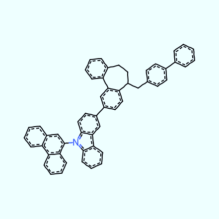 c1ccc(-c2ccc(CC3CCc4ccccc4-c4cc(-c5ccc6c(c5)c5ccccc5n6-c5cc6ccccc6c6ccccc56)ccc43)cc2)cc1